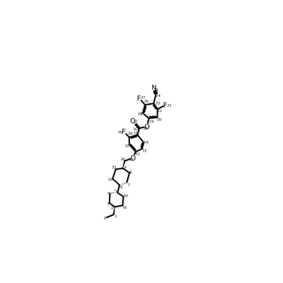 CC[C@H]1CC[C@H]([C@H]2CC[C@H](COc3ccc(C(=O)Oc4cc(F)c(C#N)c(F)c4)c(F)c3)CC2)CC1